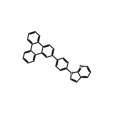 c1cnc2c(c1)ccn2-c1ccc(-c2ccc3c4ccccc4c4ccccc4c3c2)cc1